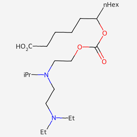 CCCCCCC(CCCCC(=O)O)OC(=O)OCCN(CCN(CC)CC)C(C)C